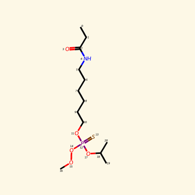 CCC(=O)NCCCCCCOP(=S)(OOC)OC(C)C